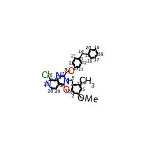 COc1ccc(Cn2c(COc3ccc(Cc4ccccc4)cc3)nc3c(Cl)nccc3c2=O)c(C)c1